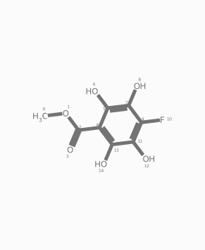 COC(=O)c1c(O)c(O)c(F)c(O)c1O